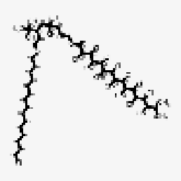 CC(C)C(Cl)C(Cl)C(Cl)C(Cl)C(Cl)C(Cl)C(Cl)C(Cl)C(Cl)C(Cl)C(Cl)C(Cl)C(Cl)C(Cl)OCCCC(C)(C)CC(CCOCCCCCCCCCCCCCCCCl)C(C)(C)C